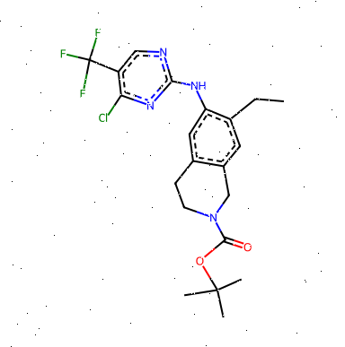 CCc1cc2c(cc1Nc1ncc(C(F)(F)F)c(Cl)n1)CCN(C(=O)OC(C)(C)C)C2